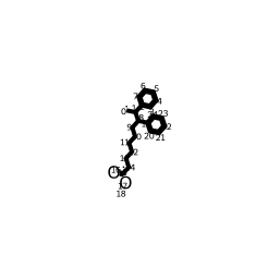 [CH2]C(c1ccccc1)C(CCCCC[CH]C(=O)OC)c1ccccc1